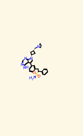 Nc1ncnc2c1c(-c1cccc(CC(c3ccccc3)S(N)(=O)=O)c1)cn2[C@H]1C[C@@H](CN2CCC2)C1